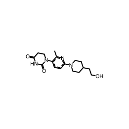 Cc1nc(N2CCC(CCO)CC2)ccc1N1CCC(=O)NC1=O